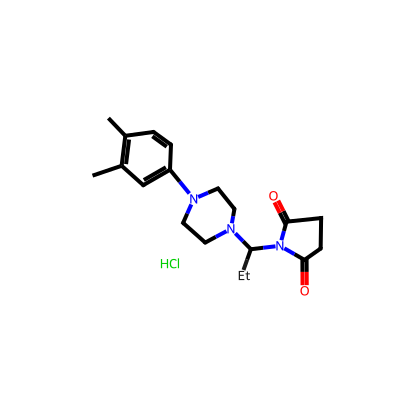 CCC(N1CCN(c2ccc(C)c(C)c2)CC1)N1C(=O)CCC1=O.Cl